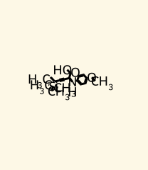 CCC(C#CC(Nc1ccc(OC)cc1)C(=O)O)[Si](C)(C)C